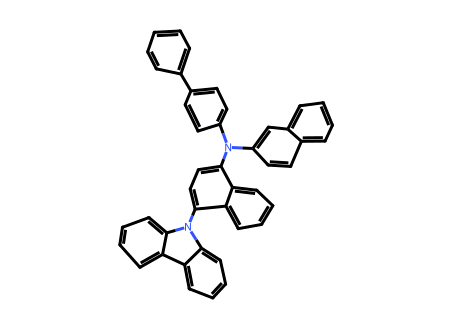 c1ccc(-c2ccc(N(c3ccc4ccccc4c3)c3ccc(-n4c5ccccc5c5ccccc54)c4ccccc34)cc2)cc1